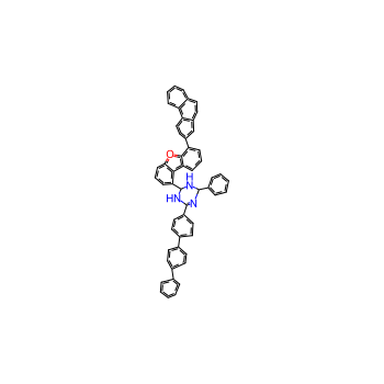 c1ccc(-c2ccc(-c3ccc(C4=NC(c5ccccc5)NC(c5cccc6oc7c(-c8ccc9c(ccc%10ccccc%109)c8)cccc7c56)N4)cc3)cc2)cc1